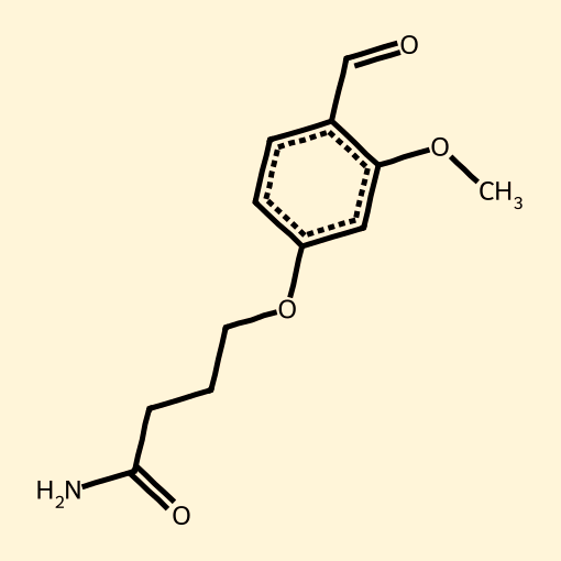 COc1cc(OCCCC(N)=O)ccc1C=O